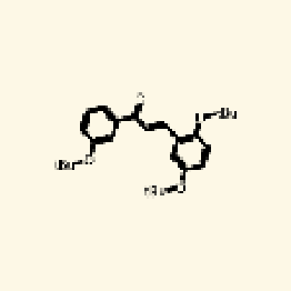 CC(C)(C)Oc1cccc(C(=O)C=Cc2cc(OC(C)(C)C)ccc2OC(C)(C)C)c1